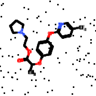 CC(Oc1ccc(Oc2ccc(C(F)(F)F)cn2)cc1)C(=O)OCCN1CCCC1